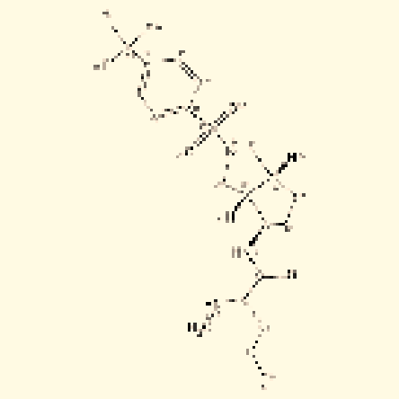 CCC[C@H](NC)C(=O)N[C@@H]1CC[C@H]2CN(S(=O)(=O)c3ccc(C(F)(F)F)cc3)C[C@H]21